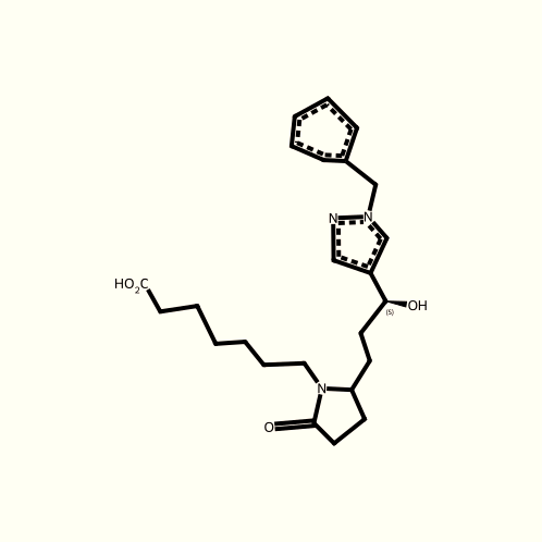 O=C(O)CCCCCCN1C(=O)CCC1CC[C@H](O)c1cnn(Cc2ccccc2)c1